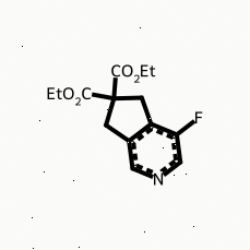 CCOC(=O)C1(C(=O)OCC)Cc2cncc(F)c2C1